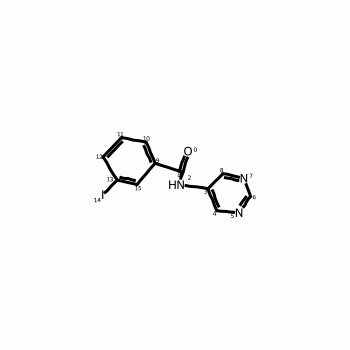 O=C(Nc1cncnc1)c1cccc(I)c1